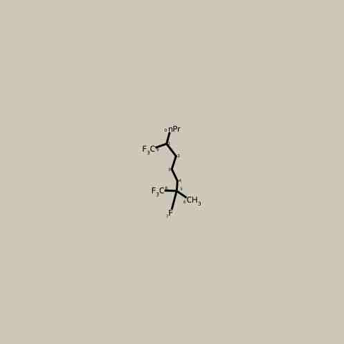 CCCC(CCCC(C)(F)C(F)(F)F)C(F)(F)F